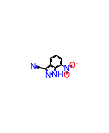 N#Cc1n[nH]c2c([N+](=O)[O-])cccc12